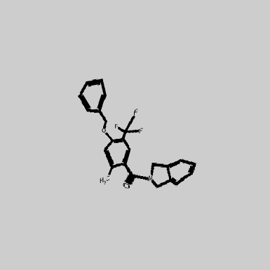 Cc1cc(OCc2ccccc2)c(C(F)(F)F)cc1C(=O)N1Cc2ccccc2C1